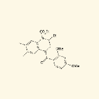 CCOC(=O)N1c2cc(C)c(C)cc2N(C(=O)c2ccc(OC)cc2OC)CC1CC